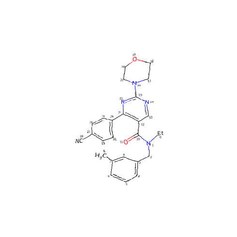 CCN(Cc1cccc(C)c1)C(=O)c1cnc(N2CCOCC2)nc1-c1ccc(C#N)cc1